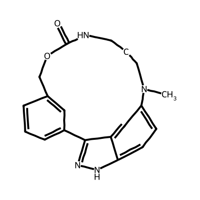 CN1CCCNC(=O)OCc2cccc(c2)-c2n[nH]c3ccc1cc23